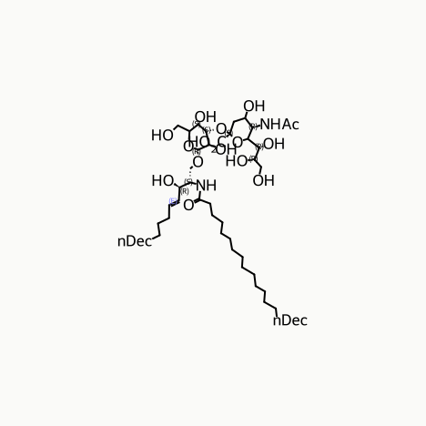 CCCCCCCCCCCCC/C=C/[C@@H](O)[C@H](CO[C@@H]1OC(CO)[C@H](O)[C@H](O[C@]2(C(=O)O)CC(O)[C@@H](NC(C)=O)C([C@H](O)[C@H](O)CO)O2)C1O)NC(=O)CCCCCCCCCCCCCCCCCCCCCCC